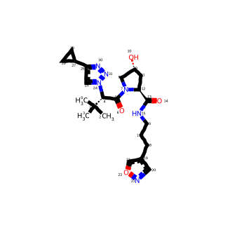 CC(C)(C)[C@@H](C(=O)N1C[C@H](O)C[C@H]1C(=O)NCCCc1cnoc1)n1cc(C2CC2)nn1